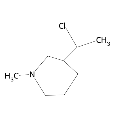 CC(Cl)C1CCCN(C)C1